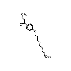 CCCCCCCCCCCCCCCCCCOc1ccc(C(=O)CCOC(C)=O)cc1